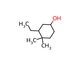 CCC1CC(O)CCC1(C)C